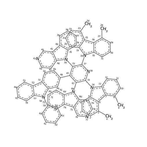 Cc1cccc2c1c1c(C)cccc1n2-c1nc(-n2c3cccc(C)c3c3c(C)cccc32)c(-n2c3ccccc3c3cnccc32)c(-c2ccc3c4ccccc4n(-c4ccccc4)c3c2)c1-n1c2ccccc2c2cnccc21